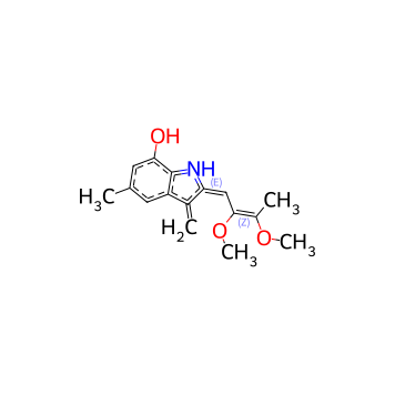 C=c1/c(=C\C(OC)=C(/C)OC)[nH]c2c(O)cc(C)cc12